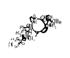 C=CC(=O)N(C)[C@H]1C[C@@H](N(C)C(=O)N(C)C(C(=O)N[C@H]2Cc3nc(cs3)-c3ccc4c(c3)c(c(-c3cccnc3[C@H](C)OC)n4CC)CC(C)(C)COC(=O)[C@@H]3CCCN(N3)C2=O)C(C)C)C1